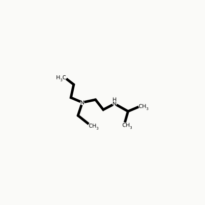 CCCN(CC)C[CH]NC(C)C